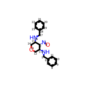 O=N[C@@H]1[C@@H](NCc2ccccc2)COC[C@H]1NCc1ccccc1